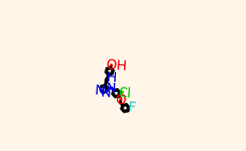 Oc1ccc(C#Cc2cncnc2Nc2ccc(OCc3cccc(F)c3)c(Cl)c2)cc1